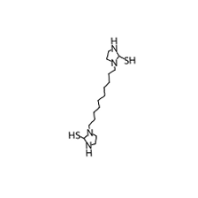 SC1NCCN1CCCCCCCCCCN1CCNC1S